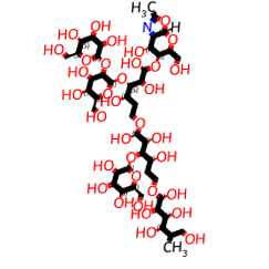 CC1=NC2[C@@H](O1)OC(CO)[C@@H](O[C@H](O)C(O)[C@@H](O[C@H]1O[C@@H](CO)[C@@H](O)C(O)C1O[C@H]1O[C@@H](CO)[C@@H](O)C(O)C1O)[C@H](O)CCO[C@@H](O)[C@H](O)C(O[C@H]1O[C@@H](CO)[C@@H](O)C(O)C1O)[C@H](O)CCO[C@@H](O)C(O)[C@@H](O)[C@H](O)C(C)CO)[C@@H]2O